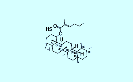 CCCC=C(C)C(=O)OC1C(S)CC(C)(C)[C@@H]2CC[C@]3(C)[C@H](CC[C@@H]4[C@@H]5[C@@H](C)[C@H](C)CC[C@]5(C)CC[C@]43C)[C@@]12C